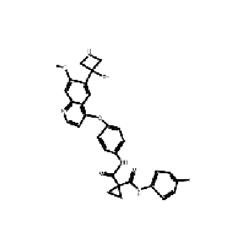 COc1cc2nccc(Oc3ccc(NC(=O)C4(C(=O)Nc5ccc(F)cc5)CC4)cc3)c2cc1C1(O)CNC1